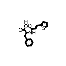 O=C(C=Cc1cccs1)NC(Cc1ccccc1)C(=O)O